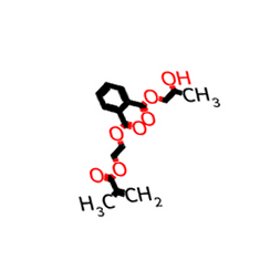 C=C(C)C(=O)OCCOC(=O)c1ccccc1C(=O)OCC(C)O